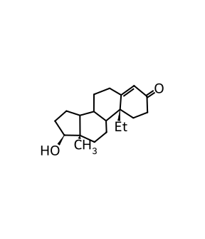 CC[C@]12CCC(=O)C=C1CCC1C2CC[C@@]2(C)C1CC[C@@H]2O